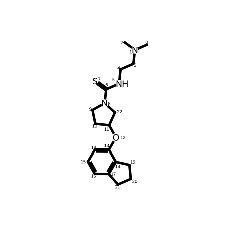 CN(C)CCNC(=S)N1CCC(Oc2cccc3c2CCC3)C1